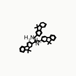 CC1(C)C2=C(C=CCC2)c2ccc(C(N)N3C(C4=CC=C5c6ccccc6C(C)(C)C5C4)=N[C@@H]3C3=CC4C(C=C3)c3ccccc3C4(C)C)cc21